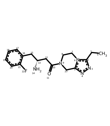 CCc1nnc2n1CCN(C(=O)C[C@H](N)Cc1ccccc1F)C2